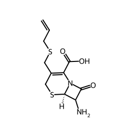 C=CCSCC1=C(C(=O)O)N2C(=O)C(N)[C@H]2SC1